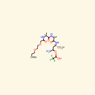 COCCOCCOCC(=O)N[C@@H](C)C(=O)N[C@@H](C)C(=O)N[C@@H](CC(N)=O)C(=O)O.O=C(O)C(F)(F)F